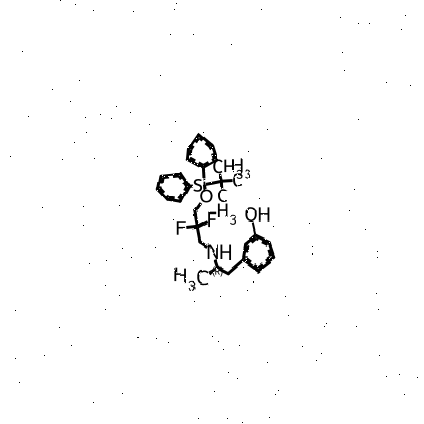 C[C@H](Cc1cccc(O)c1)NCC(F)(F)CO[Si](c1ccccc1)(c1ccccc1)C(C)(C)C